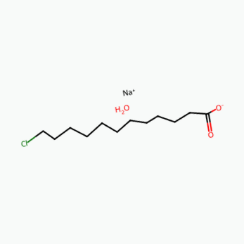 O.O=C([O-])CCCCCCCCCCCCl.[Na+]